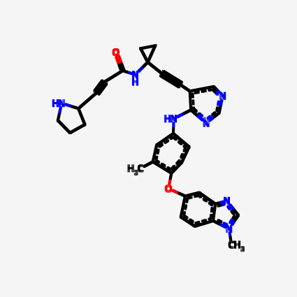 Cc1cc(Nc2ncncc2C#CC2(NC(=O)C#CC3CCCN3)CC2)ccc1Oc1ccc2c(c1)ncn2C